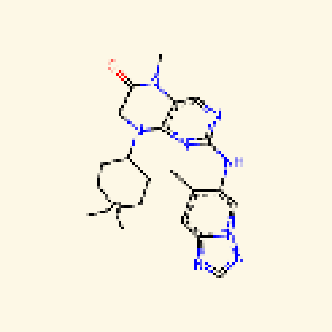 Cc1cc2ncnn2cc1Nc1ncc2c(n1)N(C1CC[Si](C)(C)CC1)CC(=O)N2C